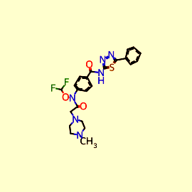 CN1CCN(CC(=O)N(OC(F)F)c2ccc(C(=O)Nc3nnc(-c4ccccc4)s3)cc2)CC1